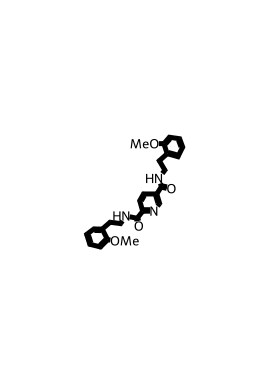 COc1ccccc1CCNC(=O)c1ccc(C(=O)NCCc2ccccc2OC)nc1